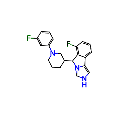 Fc1cccc(N2CCCC(C3c4c(F)cccc4C4=CNCN43)C2)c1